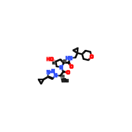 CC(C)(C)[C@@H](C(=O)N1C[C@H](O)C[C@H]1C(=O)NCC1(C2CCOCC2)CC1)n1cc(C2CC2)nn1